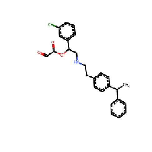 CC(c1ccccc1)c1ccc(CCNCC(OC(=O)C=O)c2cccc(Cl)c2)cc1